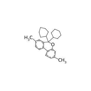 Cc1ccc2c(c1)OC(C1CCCCC1)(C1CCCCC1)c1cc(C)ccc1-2